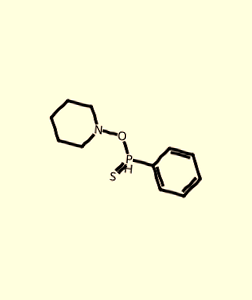 S=[PH](ON1CCCCC1)c1ccccc1